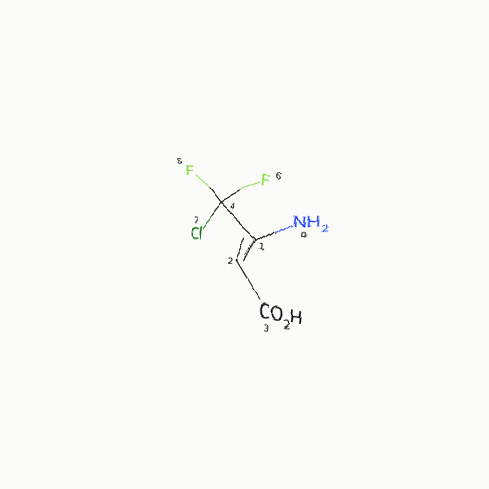 NC(=CC(=O)O)C(F)(F)Cl